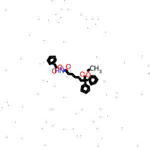 CCOC(=O)C(CCCCCC(=O)NOC(=O)c1ccccc1)(c1ccccc1)c1ccccc1